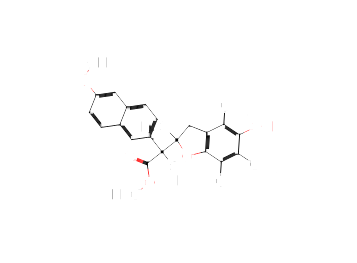 COC(=O)C(C)(c1ccc2cc(OC)ccc2c1)C1(C)Cc2c(C)c(O)c(C)c(C)c2O1